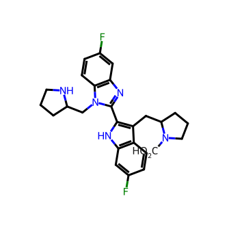 O=C(O)N1CCCC1Cc1c(-c2nc3cc(F)ccc3n2CC2CCCN2)[nH]c2cc(F)ccc12